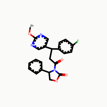 CC(C)Oc1ncc(C(CC(=O)N2C(=O)OCC2c2ccccc2)c2ccc(F)cc2)cn1